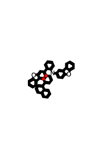 c1ccc(N(c2ccc(-c3cccc4ccccc34)cc2)c2ccc3oc4ccccc4c3c2)c(-c2ccc3c(c2)oc2ccccc23)c1